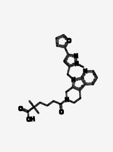 Cn1nc(-c2ccco2)cc1Cn1c2c(c3cccnc31)CCN(C(=O)CCCC(C)(C)C(=O)O)C2